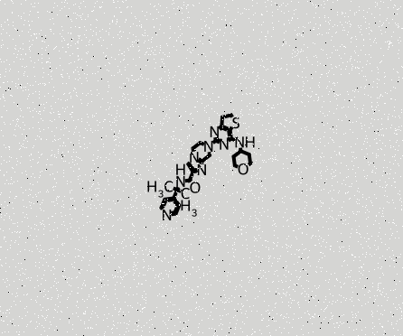 CC(C)(NC(=O)c1cn2c(n1)CN(c1nc3c(c(NC4CCOCC4)n1)SCC3)CC2)c1ccncc1